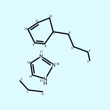 CCC.CCCCC1C=CC=CC1.c1c[nH]nn1